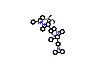 C=Cc1c(/C=C\C)c2cc(-c3ccc(-n4c5ccccc5c5c(-c6ccc(-n7c8ccccc8c8ccccc87)cc6)cc6c7ccccc7n(-c7ccccc7)c6c54)cc3)c3c4ccccc4n(-c4cccc(-c5ccccc5)n4)c3c2n1-c1ccccc1